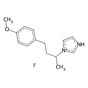 COc1ccc(CCC(C)[n+]2cc[nH]c2)cc1.[I-]